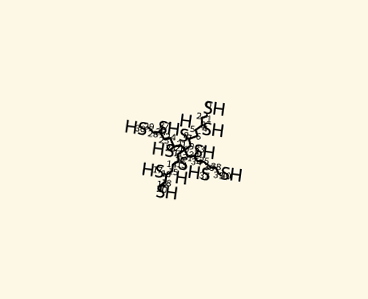 SCCC(S)CCC(S)CC(CC(S)CCC(S)CCS)(CC(S)CCC(S)CCS)CC(S)CCC(S)CCS